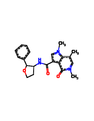 Cc1cn(C)c(=O)c2c(C(=O)NC3CCOC3c3ccccc3)cn(C)c12